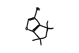 CC(C)c1coc2c1C(C)(C)CC2(C)C